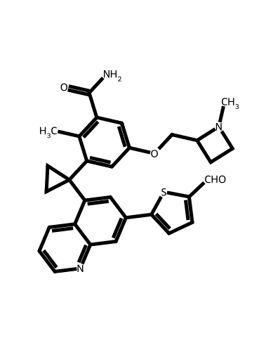 Cc1c(C(N)=O)cc(OCC2CCN2C)cc1C1(c2cc(-c3ccc(C=O)s3)cc3ncccc23)CC1